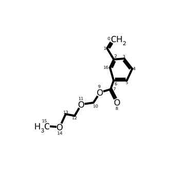 C=Cc1cccc(C(=O)OCOCCOC)c1